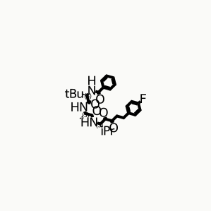 CC(C)[C@H](NC(=O)[C@H](C)NC(=O)[C@@H](NC(=O)c1ccccc1)C(C)(C)C)C(=O)C(=O)CCc1ccc(F)cc1